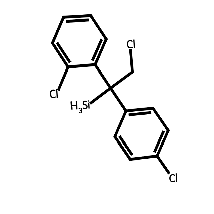 [SiH3]C(CCl)(c1ccc(Cl)cc1)c1ccccc1Cl